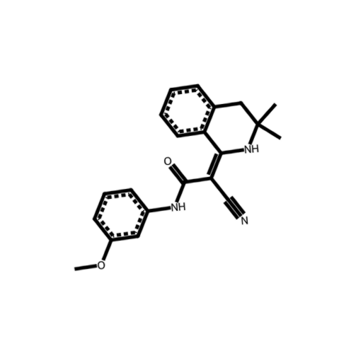 COc1cccc(NC(=O)/C(C#N)=C2/NC(C)(C)Cc3ccccc32)c1